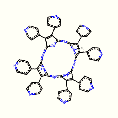 Cn1c2nc3nc(nc4[nH]c(nc5nc(nc1c(-c1ccncc1)c2-c1ccncc1)C(c1ccncc1)=C5c1ccncc1)c(-c1ccncc1)c4-c1ccncc1)C(c1ccncc1)=C3c1ccncc1